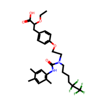 CCOC(Cc1ccc(OCCN(CCCCC(F)(F)C(F)(F)F)C(=O)Nc2cc(C)c(C)cc2C)cc1)C(=O)O